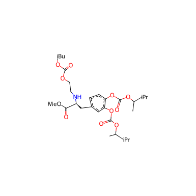 CCC(C)OC(=O)OCCN[C@@H](Cc1ccc(OC(=O)OC(C)C(C)C)c(OC(=O)OC(C)C(C)C)c1)C(=O)OC